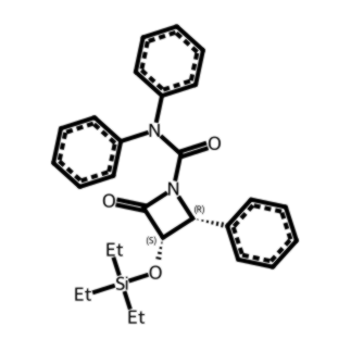 CC[Si](CC)(CC)O[C@@H]1C(=O)N(C(=O)N(c2ccccc2)c2ccccc2)[C@@H]1c1ccccc1